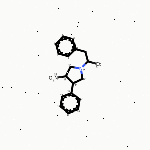 CCC(Cc1ccccc1)N1CC(c2ccccc2)C([N+](=O)[O-])C1